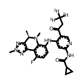 [2H]C([2H])([2H])CC(=O)c1cnc(NC(=O)C2CC2)cc1Nc1ccc(F)c2c1N(C)[C@H](C)c1nn(C)nc1-2